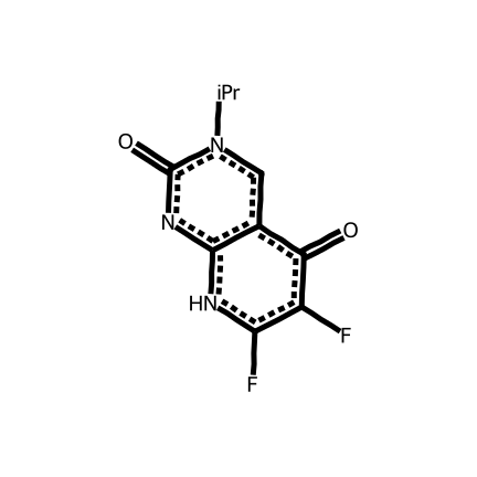 CC(C)n1cc2c(=O)c(F)c(F)[nH]c2nc1=O